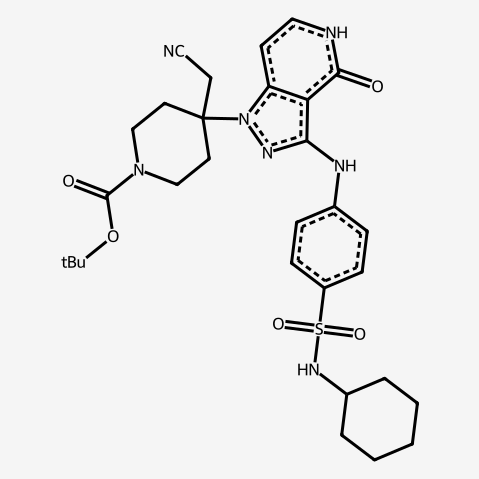 CC(C)(C)OC(=O)N1CCC(CC#N)(n2nc(Nc3ccc(S(=O)(=O)NC4CCCCC4)cc3)c3c(=O)[nH]ccc32)CC1